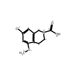 COc1cc(Cl)cc2c1CCN(C(=O)O)C2